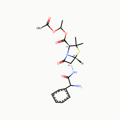 CCCCC(=O)OC(C)OC(=O)[C@@H]1N2C(=O)[C@@H](NC(=O)C(N)c3ccccc3)[C@H]2SC1(C)C